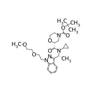 COCCOCCn1nc([C@@H](C)N(C(=O)[C@H]2CN(C(=O)OC(C)(C)C)CCO2)C2CC2)c2ccccc21